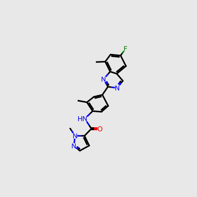 Cc1cc(-c2ncc3cc(F)cc(C)c3n2)ccc1NC(=O)c1ccnn1C